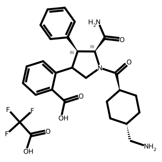 NC[C@H]1CC[C@H](C(=O)N2CC(c3ccccc3C(=O)O)[C@@H](c3ccccc3)[C@H]2C(N)=O)CC1.O=C(O)C(F)(F)F